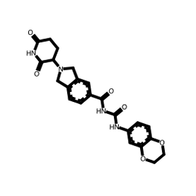 O=C1CCC(N2Cc3ccc(C(=O)NC(=O)Nc4ccc5c(c4)OCCO5)cc3C2)C(=O)N1